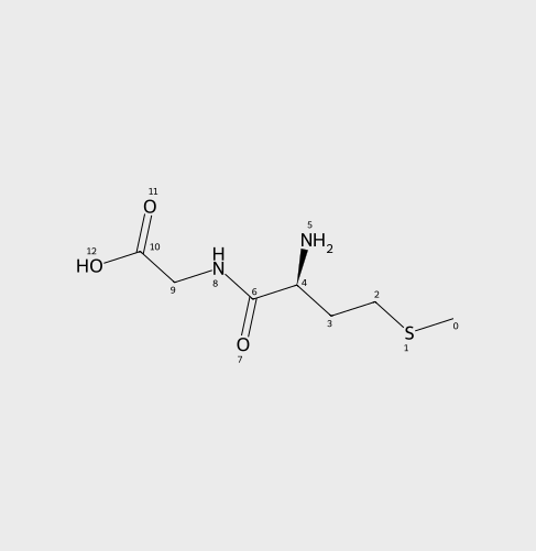 CSCC[C@H](N)C(=O)NCC(=O)O